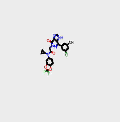 N#Cc1cc(Cl)cc(-c2nn(CC(=O)N(c3ccc4c(c3)OC(F)(F)O4)C3CC3)c(=O)c3nc[nH]c23)c1